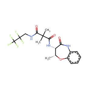 C[C@H]1Oc2ccccc2NC(=O)[C@H]1NC(=O)C(C)(C)C(=O)NCC(F)(F)C(F)(F)F